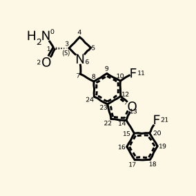 NC(=O)[C@@H]1CCN1Cc1cc(F)c2oc(-c3ccccc3F)cc2c1